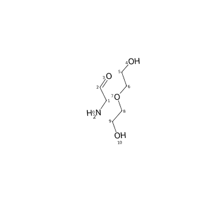 NCC=O.OCCOCCO